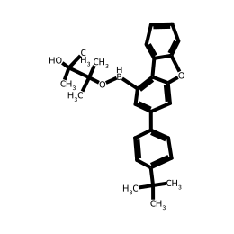 CC(C)(C)c1ccc(-c2cc(BOC(C)(C)C(C)(C)O)c3c(c2)oc2ccccc23)cc1